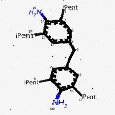 CCCC(C)c1cc(Cc2cc(C(C)CCC)c(N)c(C(C)CCC)c2)cc(C(C)CCC)c1N